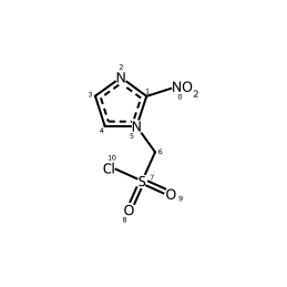 O=[N+]([O-])c1nccn1CS(=O)(=O)Cl